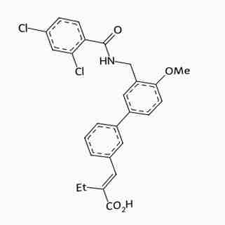 CC/C(=C\c1cccc(-c2ccc(OC)c(CNC(=O)c3ccc(Cl)cc3Cl)c2)c1)C(=O)O